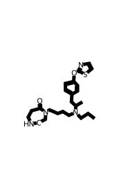 CCCN(CCCCN1CCNCCC1=O)C(C)Cc1ccc(Oc2nccs2)cc1